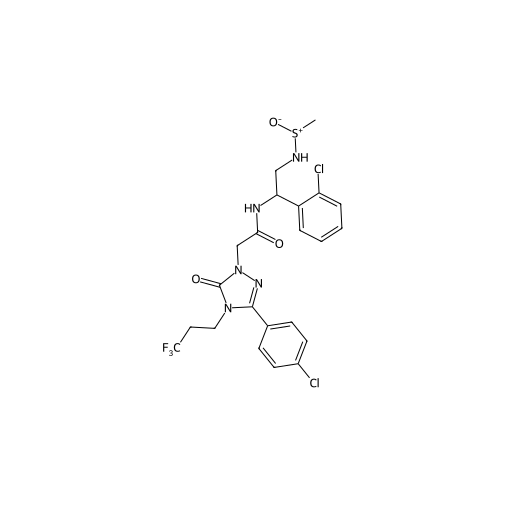 C[S+]([O-])NCC(NC(=O)Cn1nc(-c2ccc(Cl)cc2)n(CCC(F)(F)F)c1=O)c1ccccc1Cl